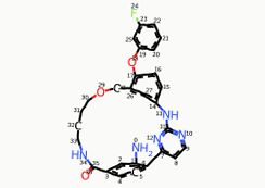 Nc1cc2ccc1-c1ccnc(n1)Nc1ccc(Oc3cccc(F)c3)c(c1)COCCCCNC2=O